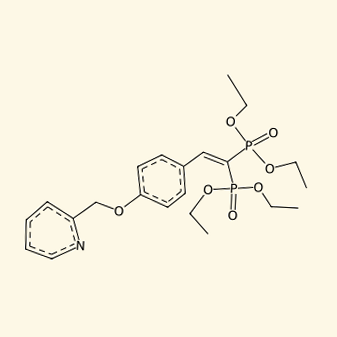 CCOP(=O)(OCC)C(=Cc1ccc(OCc2ccccn2)cc1)P(=O)(OCC)OCC